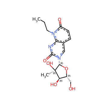 CCCn1c(=O)ccc2cn([C@@H]3O[C@H](CO)[C@@H](O)[C@@]3(C)O)c(=O)nc21